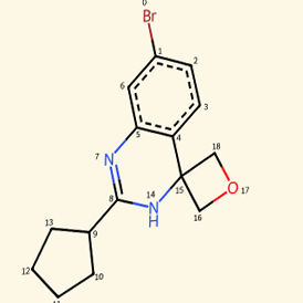 Brc1ccc2c(c1)N=C(C1CCCC1)NC21COC1